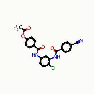 CC(=O)Oc1ccc(C(=O)Nc2ccc(Cl)c(NC(=O)c3ccc(C#N)cc3)c2)cc1